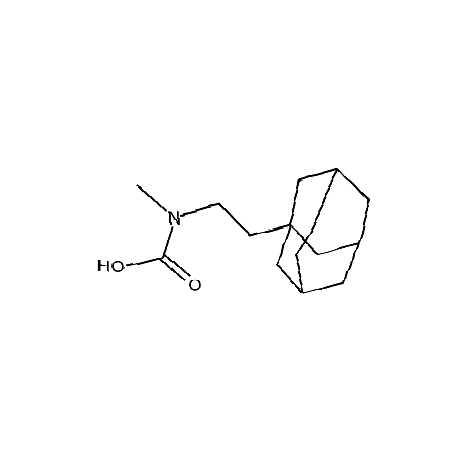 CN(CCC12CC3CC(CC(C3)C1)C2)C(=O)O